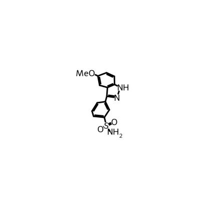 COc1ccc2[nH]nc(-c3cccc(S(N)(=O)=O)c3)c2c1